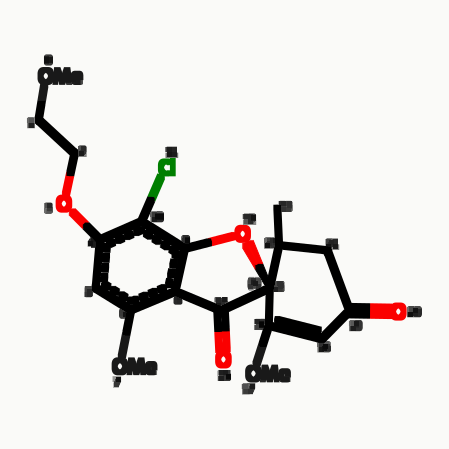 COCCOc1cc(OC)c2c(c1Cl)O[C@]1(C2=O)C(OC)=CC(=O)CC1C